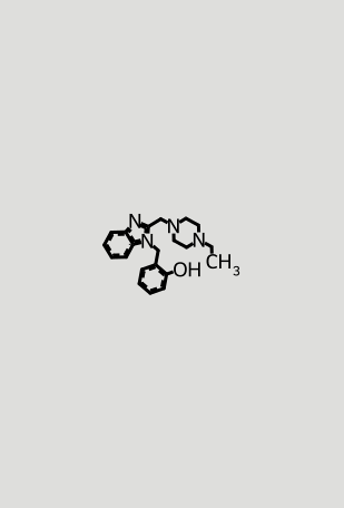 CCN1CCN(Cc2nc3ccccc3n2Cc2ccccc2O)CC1